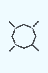 CC1CN(C)CN(C)CN(C)C1